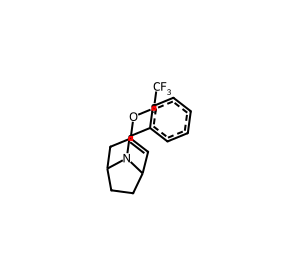 FC(F)(F)SOC1=CC2CCC(C1)N2Cc1ccccc1